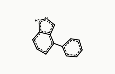 [c]1n[nH]c2cccc(-c3ccccc3)c12